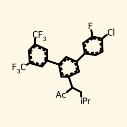 CC(=O)C(CC(C)C)c1cc(-c2cc(C(F)(F)F)cc(C(F)(F)F)c2)cc(-c2ccc(Cl)c(F)c2)c1